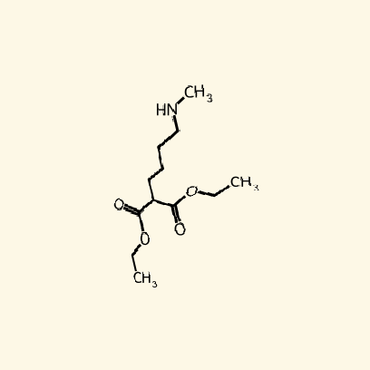 CCOC(=O)C(CCCCNC)C(=O)OCC